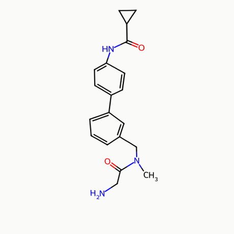 CN(Cc1cccc(-c2ccc(NC(=O)C3CC3)cc2)c1)C(=O)CN